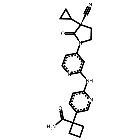 N#C[C@@]1(C2CC2)CCN(c2ccnc(Nc3ccc(C4(C(N)=O)CCC4)cn3)c2)C1=O